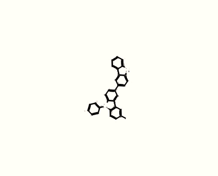 Cc1ccc2c(c1)c1cc(-c3ccc4[nH]c5ccccc5c4c3)ccc1n2-c1ccccc1